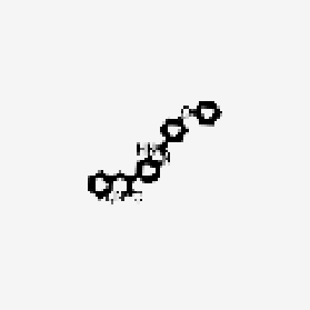 NC(=O)C(Cc1ccccc1)c1ccc2nc(-c3ccc(Oc4ccccc4)cc3)[nH]c2c1